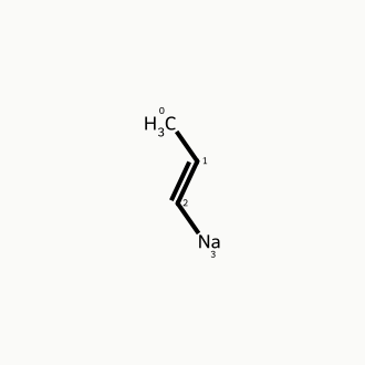 CC=[CH][Na]